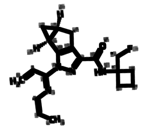 C=C/C(=N\C=C/C)n1nc(C(=O)NC2(CF)CCC2)c2c1[C@H]1C[C@H]1C2